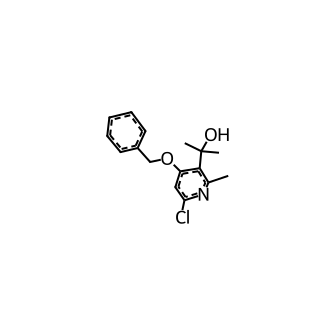 Cc1nc(Cl)cc(OCc2ccccc2)c1C(C)(C)O